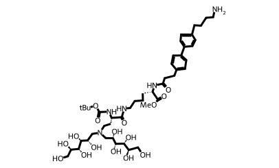 COC(=O)[C@H](CCCCNC(=O)[C@H](CCN(C[C@H](O)[C@@H](O)[C@H](O)[C@H](O)CO)C[C@H](O)[C@@H](O)[C@H](O)[C@H](O)CO)NC(=O)OC(C)(C)C)NC(=O)CCc1ccc(-c2ccc(CCCCN)cc2)cc1